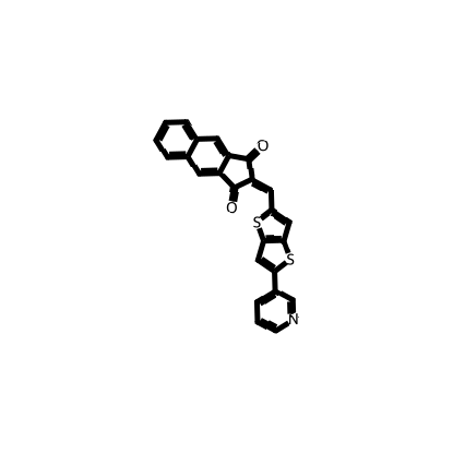 O=C1C(=Cc2cc3sc(-c4cccnc4)cc3s2)C(=O)c2cc3ccccc3cc21